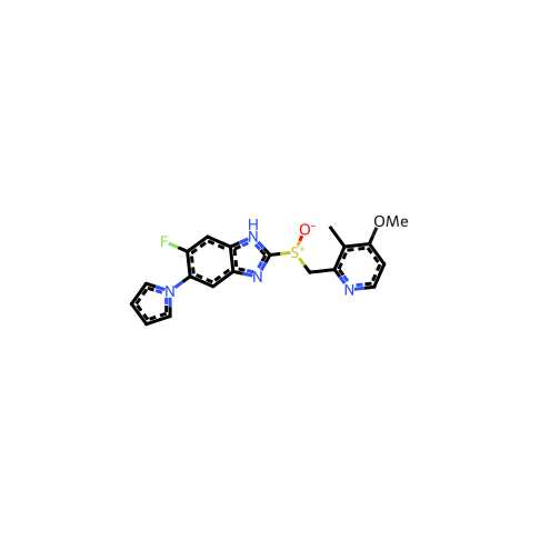 COc1ccnc(C[S+]([O-])c2nc3cc(-n4cccc4)c(F)cc3[nH]2)c1C